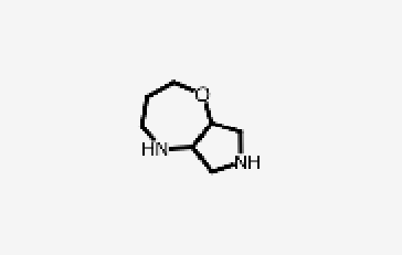 C1CNC2CNCC2OC1